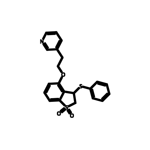 O=S1(=O)CC(Sc2ccccc2)c2c(OCCc3cccnc3)cccc21